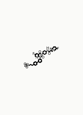 CS(=O)(=O)OCCCc1ccc(-c2cccc(-n3c(=O)n(C4CCC(NC(=O)c5cn6cc(F)ccc6n5)CC4)c(=O)c4cc(F)cnc43)c2)cc1